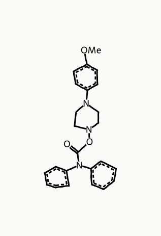 COc1ccc(N2CCN(OC(=O)N(c3ccccc3)c3ccccc3)CC2)cc1